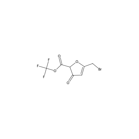 O=C1C=C(CBr)OC1C(=O)OC(F)(F)F